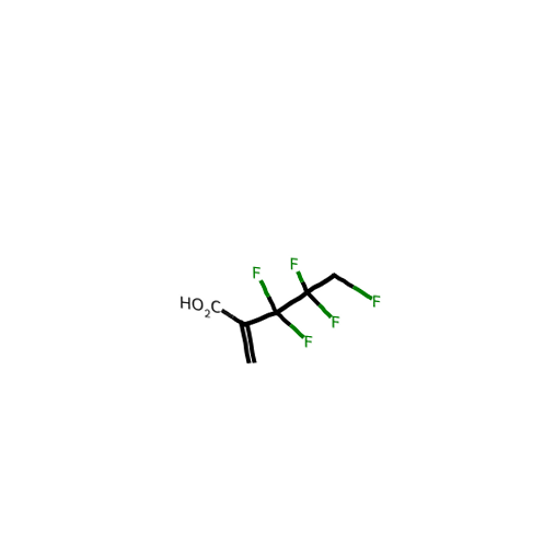 C=C(C(=O)O)C(F)(F)C(F)(F)CF